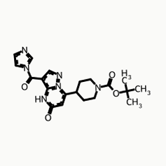 CC(C)(C)OC(=O)N1CCC(c2cc(=O)[nH]c3c(C(=O)n4ccnc4)cnn23)CC1